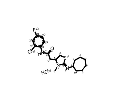 CN1C(=NC2CCCCCC2)SCC1CC(=O)Nc1ccc(F)cc1Cl.Cl